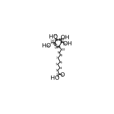 O=C(O)CCCCCCCC[C@H]1S[C@@H](CO)[C@@H](O)[C@H](O)[C@H]1O